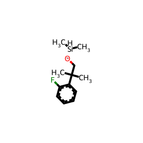 C[SiH](C)OCC(C)(C)c1ccccc1F